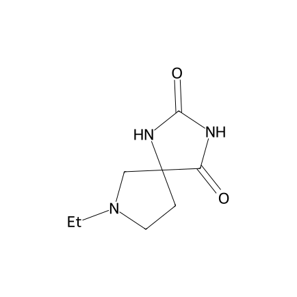 CCN1CCC2(C1)NC(=O)NC2=O